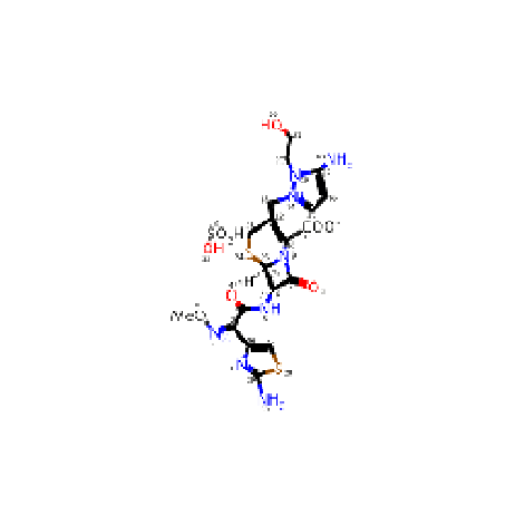 CO/N=C(\C(=O)N[C@@H]1C(=O)N2C(C(=O)[O-])=C(C[n+]3ccc(N)n3CCO)CS[C@H]12)c1csc(N)n1.O=S(=O)(O)O